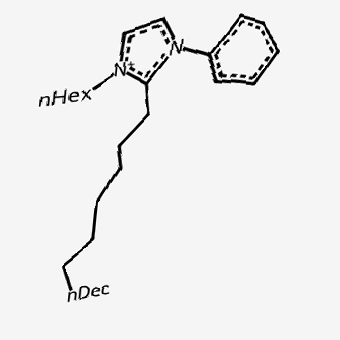 CCCCCCCCCCCCCCCCc1n(-c2ccccc2)cc[n+]1CCCCCC